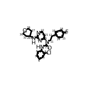 O=C(Nc1ccccc1Cl)N(CCc1ccc(F)cc1)c1ccnc(NC2CCOCC2)n1